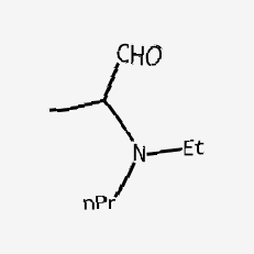 CCCN(CC)C(C)C=O